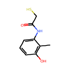 Cc1c(O)cccc1NC(=O)CS